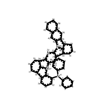 c1ccc(N(c2ccccc2)c2cccc3c4cccc5c6nc7c(cc6n(c23)c45)c2cccc3c4cc5ccccc5cc4n7c32)cc1